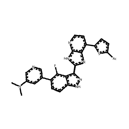 CC(=O)c1ccc(-c2ccnc3[nH]c(-c4n[nH]c5ccc(-c6cncc(N(C)C)c6)c(F)c45)nc23)s1